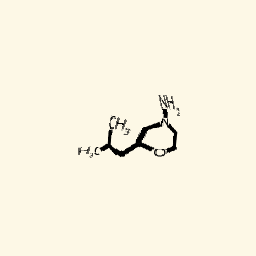 CC(C)CC1CN(N)CCO1